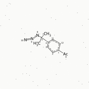 CC(=O)c1ccc(C(C)(C)N=[N+]=[N-])cc1